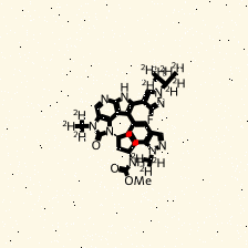 [2H]C([2H])([2H])n1ncc2cc(-c3c(-c4cn(C([2H])(C([2H])([2H])[2H])C([2H])([2H])[2H])nc4F)[nH]c4ncc5c(c34)n([C@@H]3CC[C@@H](NC(=O)OC)C3)c(=O)n5C([2H])([2H])[2H])ccc21